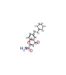 NC(=O)c1cc(=O)c2cc(CCC3CCCCC3)ccc2o1